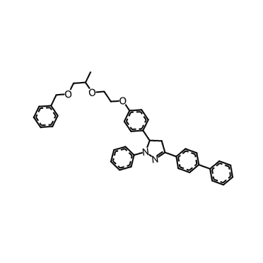 CC(COCc1ccccc1)OCCOc1ccc(C2CC(c3ccc(-c4ccccc4)cc3)=NN2c2ccccc2)cc1